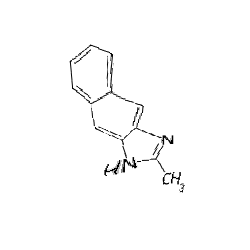 Cc1nc2cc3ccccc3cc2[nH]1